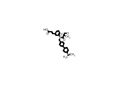 CN(C)c1ccc(-c2ccc(CN(C(=O)C(C)(C)CCl)c3cccc(C=CC(=O)O)c3)cc2)cc1